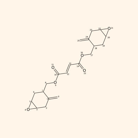 C=C1CC2OC2CC1COC(=O)C=CC(=O)OCC1CC2OC2CC1=C